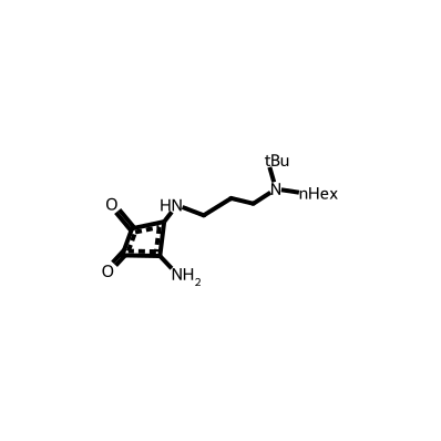 CCCCCCN(CCCNc1c(N)c(=O)c1=O)C(C)(C)C